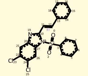 O=S(=O)(c1ccccc1)n1c(/C=C/c2ccccc2)nc2cc(Cl)c(Cl)cc21